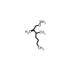 C=C(CO[SiH3])C(C)CCCC